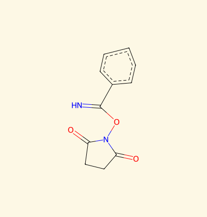 N=C(ON1C(=O)CCC1=O)c1ccccc1